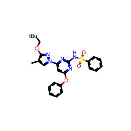 Cc1cn(-c2cc(Oc3ccccc3)nc(NS(=O)(=O)c3ccccc3)n2)nc1OCC(C)(C)C